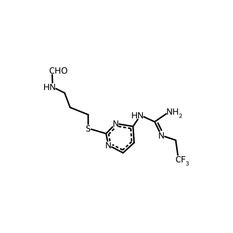 NC(=NCC(F)(F)F)Nc1ccnc(SCCCNC=O)n1